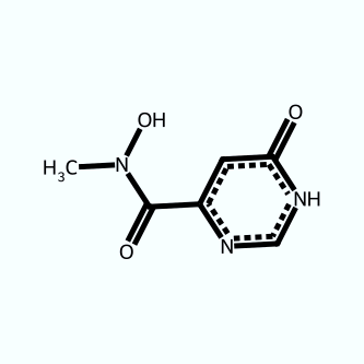 CN(O)C(=O)c1cc(=O)[nH]cn1